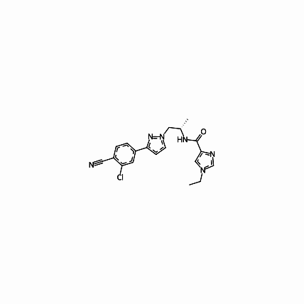 CCn1cnc(C(=O)N[C@@H](C)Cn2ccc(-c3ccc(C#N)c(Cl)c3)n2)c1